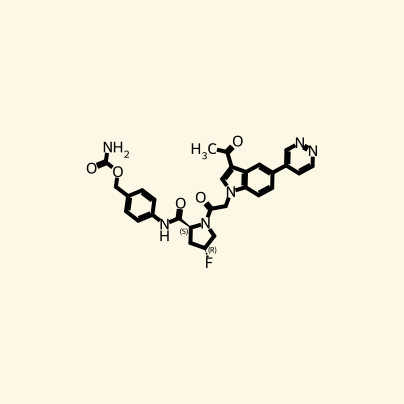 CC(=O)c1cn(CC(=O)N2C[C@H](F)C[C@H]2C(=O)Nc2ccc(COC(N)=O)cc2)c2ccc(-c3ccnnc3)cc12